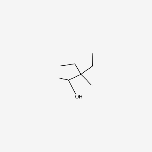 [CH2]C(CC)(CC)C(C)O